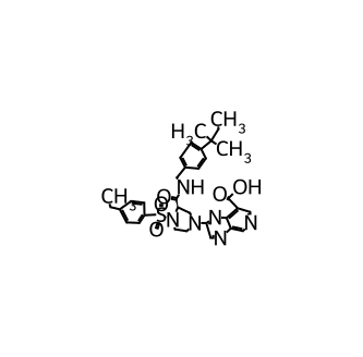 CCc1ccc(S(=O)(=O)N2CCN(c3cnc4cncc(C(=O)O)c4n3)C[C@@H]2C(=O)NCc2ccc(C(C)(C)CC)cc2)cc1